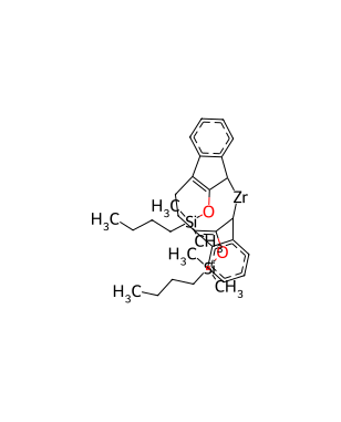 CCCC[Si](C)(C)OC1=C2CCC3=C(O[Si](C)(C)CCCC)[CH]([Zr][CH]1c1ccccc12)c1ccccc13